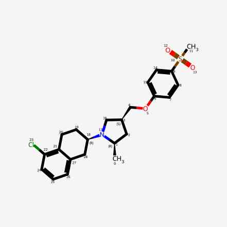 C[C@@H]1C[C@H](COc2ccc(S(C)(=O)=O)cc2)CN1[C@@H]1CCc2c(Cl)cccc2C1